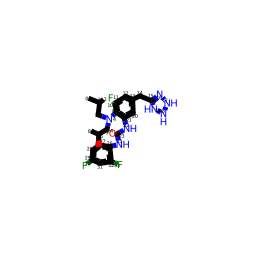 CC(C)CN(CC(C)C)c1c(F)cc(CC2=NNNN2)cc1NC(=O)Nc1ccc(F)cc1F